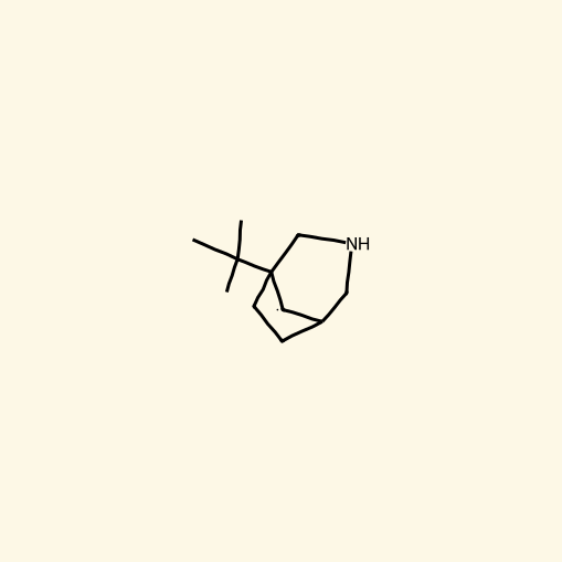 CC(C)(C)C12[CH]C(CC1)CNC2